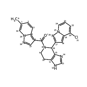 Cc1ccc2c(C(=O)N3CCc4[nH]cnc4C3c3cc4c(Cl)cccn4n3)cnn2c1